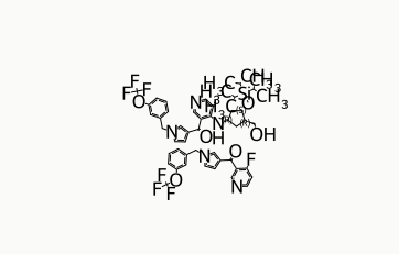 CC(C)[Si](O[C@H]1C[C@H](Nc2ccncc2C(=O)c2ccn(Cc3cccc(OC(F)(F)F)c3)c2)C[C@@H]1CO)(C(C)C)C(C)C.O=C(c1ccn(Cc2cccc(OC(F)(F)F)c2)c1)c1cnccc1F